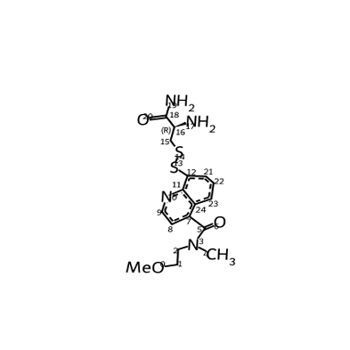 COCCN(C)C(=O)c1ccnc2c(SSC[C@H](N)C(N)=O)cccc12